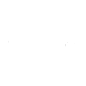 CC(C)CCCCCCCCCCCCCCCCCCCNC(=O)O